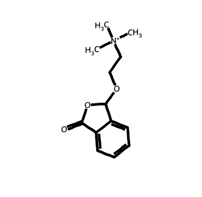 C[N+](C)(C)CCOC1OC(=O)c2ccccc21